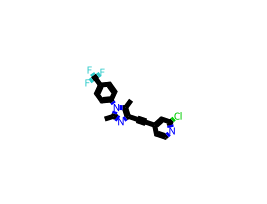 Cc1nc(C#Cc2ccnc(Cl)c2)c(C)n1-c1ccc(C(F)(F)F)cc1